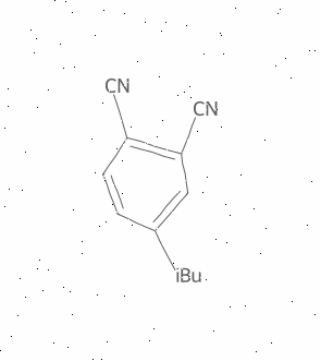 CCC(C)c1ccc(C#N)c(C#N)c1